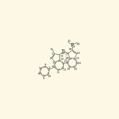 CC1=Cc2c(-c3ccccc3)cccc2[CH]1[Ti][CH]1C(P(C)C)=Cc2ccccc21